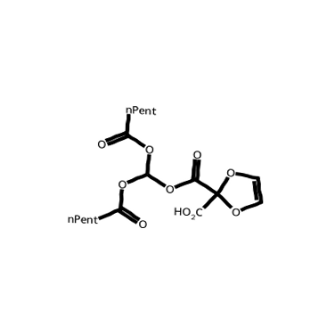 CCCCCC(=O)OC(OC(=O)CCCCC)OC(=O)C1(C(=O)O)OC=CO1